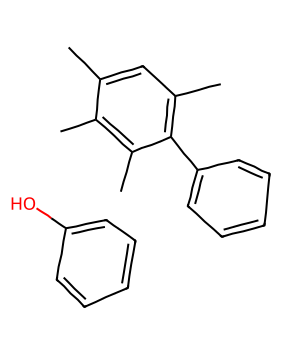 Cc1cc(C)c(-c2ccccc2)c(C)c1C.Oc1ccccc1